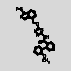 COc1ccccc1-c1cnccc1C(=O)Nc1nnc(OCc2cccc3c2cnn3SF)s1